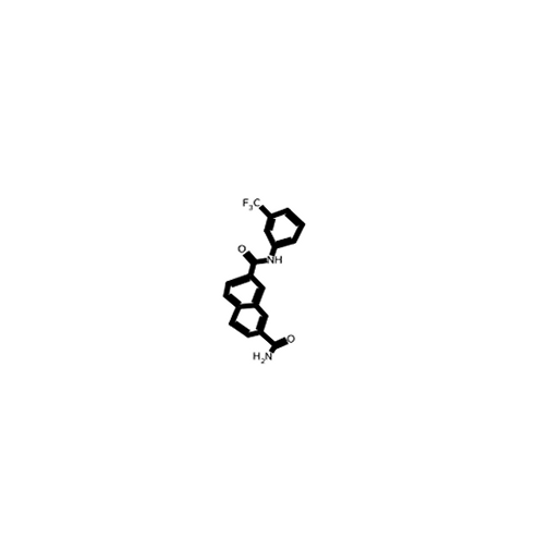 NC(=O)c1ccc2ccc(C(=O)Nc3cccc(C(F)(F)F)c3)cc2c1